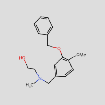 COc1ccc(CN(C)CCO)cc1OCc1ccccc1